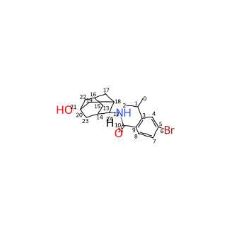 CC(C)c1cc(Br)ccc1C(=O)N[C@H]1C2CC3CC1C[C@](O)(C3)C2